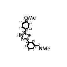 CNCc1cccc(-c2n[nH]c(-c3ccc(OC)cc3)n2)c1